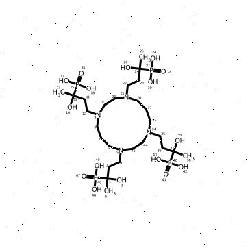 CC(O)(CCN1CCCN(CCC(C)(O)P(=O)(O)O)CCN(CCC(C)(O)P(=O)(O)O)CCCN(CCC(C)(O)P(=O)(O)O)CC1)P(=O)(O)O